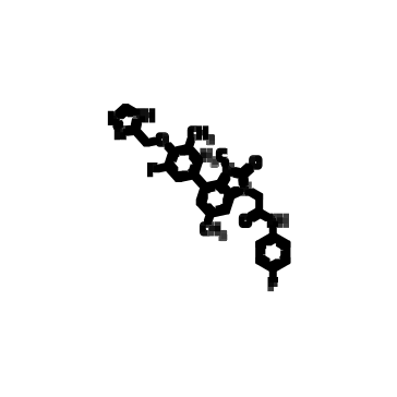 Cc1cc(-c2cc(C)c(OCc3nnc[nH]3)c(F)c2)c2c(c1)n(CC(=O)Nc1ccc(F)cc1)c(=O)n2C